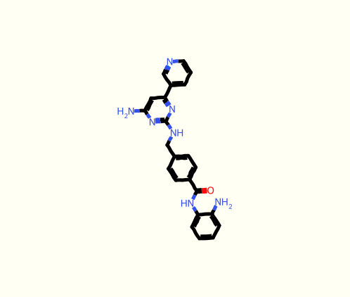 Nc1cc(-c2cccnc2)nc(NCc2ccc(C(=O)Nc3ccccc3N)cc2)n1